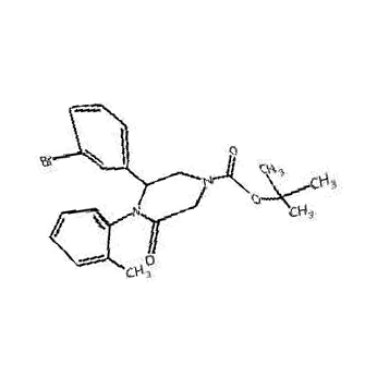 Cc1ccccc1N1C(=O)CN(C(=O)OC(C)(C)C)CC1c1cccc(Br)c1